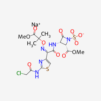 COC(=O)[C@@H]1[C@H](NC(=O)C(=NOC(C)(C)C(=O)OC)c2csc(NC(=O)CCl)n2)C(=O)N1S(=O)(=O)[O-].[Na+]